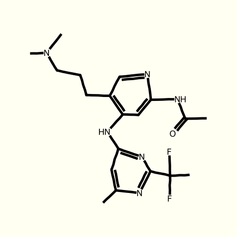 CC(=O)Nc1cc(Nc2cc(C)nc(C(C)(F)F)n2)c(CCCN(C)C)cn1